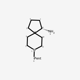 CCCC(C)N1CCC2(CCC[C@@H]2N)CC1